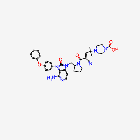 CC(C)(C=C(C#N)C(=O)N1CCCC1Cn1c(=O)n(-c2ccc(Oc3ccccc3)cc2)c2c(N)nccc21)N1CCN(C(=O)O)CC1